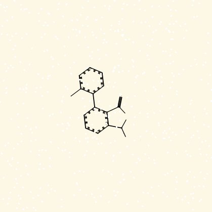 CCOC(=O)C1OC(=O)c2c(-c3ccccc3C)cccc21